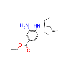 C=CCC(CC)(CC)Nc1ccc(C(=O)OCC)cc1N